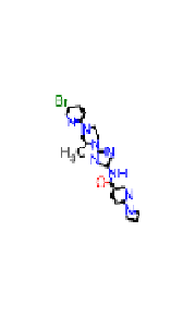 C[C@H]1CN(c2ccc(Br)cn2)CCN1c1ncc(NC(=O)c2ccc(N3CCC3)nc2)cn1